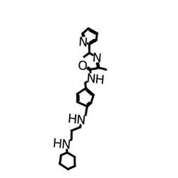 C/C(=N/C(C)c1ccccn1)C(=O)NCc1ccc(CNCCCNC2CCCCC2)cc1